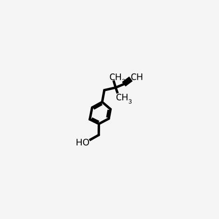 C#CC(C)(C)Cc1ccc(CO)cc1